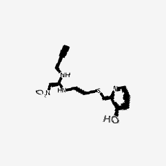 C#CCN/C(=C/[N+](=O)[O-])NCCSCc1ncccc1O